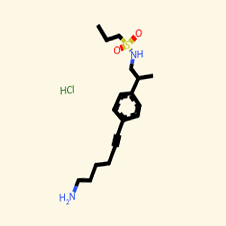 CCCS(=O)(=O)NCC(C)c1ccc(C#CCCCCN)cc1.Cl